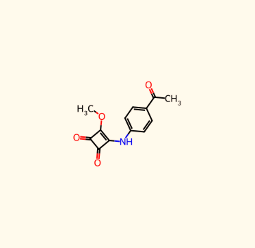 COc1c(Nc2ccc(C(C)=O)cc2)c(=O)c1=O